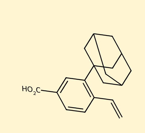 C=Cc1ccc(C(=O)O)cc1C12CC3CC(CC(C3)C1)C2